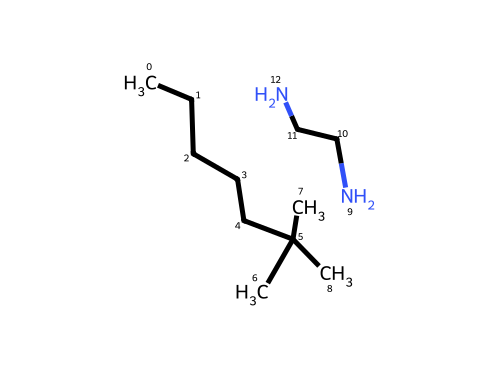 CCCCCC(C)(C)C.NCCN